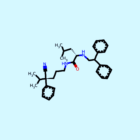 CC(C)C[C@H](NCC(c1ccccc1)c1ccccc1)C(=O)NCCC[C@@](C#N)(c1ccccc1)C(C)C